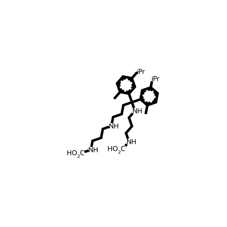 Cc1ccc(C(C)C)cc1C(CCCNCCCNC(=O)O)(NCCCNC(=O)O)c1cc(C(C)C)ccc1C